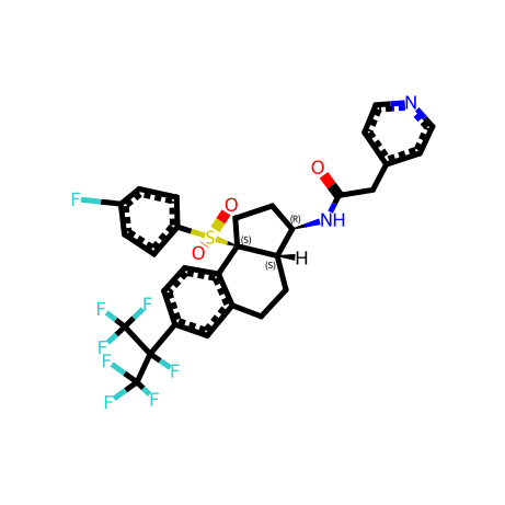 O=C(Cc1ccncc1)N[C@@H]1CC[C@@]2(S(=O)(=O)c3ccc(F)cc3)c3ccc(C(F)(C(F)(F)F)C(F)(F)F)cc3CC[C@@H]12